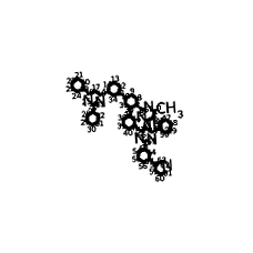 Cc1cc(C)nc(-c2ccc(-c3cccc(-c4cc(-c5ccccc5)nc(-c5ccccc5)n4)c3)cc2-c2cccc(-c3cc(-c4ccccc4)nc(-c4cccc(-c5cccnc5)c4)n3)c2)n1